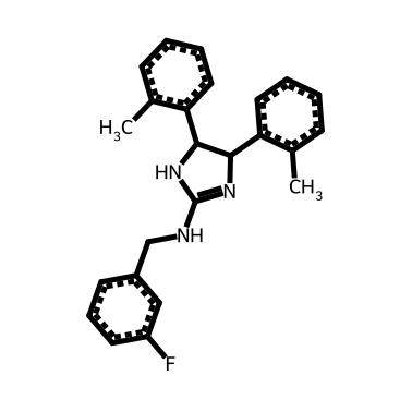 Cc1ccccc1C1N=C(NCc2cccc(F)c2)NC1c1ccccc1C